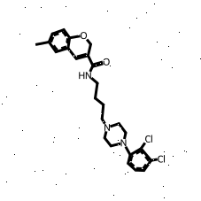 Cc1ccc2c(c1)C=C(C(=O)NCCCCN1CCN(c3cccc(Cl)c3Cl)CC1)CO2